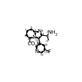 CC(N)c1nc2cccc(C(=O)O)n2c1-c1cncc(F)c1